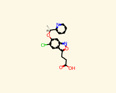 C[C@@H](Oc1cc2noc(CCC(=O)O)c2cc1Cl)c1ccccn1